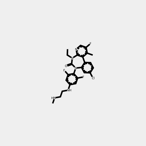 CCN1C(=O)N(c2c(F)cc(NCCNC)cc2F)c2cc(Cl)ccc2-c2c1ncc(F)c2C